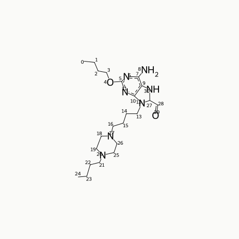 CCCCOc1nc(N)c2c(n1)N(CCCCN1CCN(CCCC)CC1)C(C=O)N2